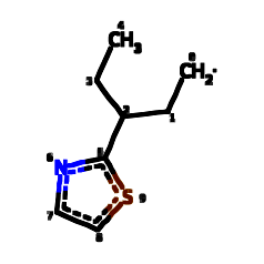 [CH2]CC(CC)c1nccs1